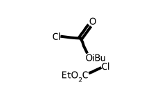 CC(C)COC(=O)Cl.CCOC(=O)Cl